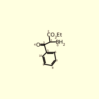 BC(C(=O)OCC)C(=O)c1ccccc1